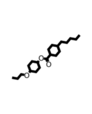 CCCCCC1CCC(C(=O)OC2CCC(OCCC)CC2)CC1